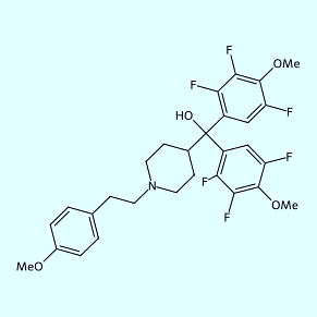 COc1ccc(CCN2CCC(C(O)(c3cc(F)c(OC)c(F)c3F)c3cc(F)c(OC)c(F)c3F)CC2)cc1